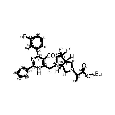 CCOC(=O)C1=C(CN2CC(F)(F)[C@@H]3CN(C(C)C(=O)OC(C)(C)C)C[C@@H]32)NC(c2nccs2)=N[C@H]1c1cccc(F)c1C